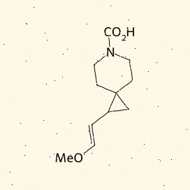 CO/C=C/C1CC12CCN(C(=O)O)CC2